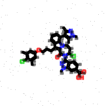 Cc1cc(OCCCc2c3n(c4c(-c5c(C)nn(C)c5C)cccc24)CCC(Cl)N(c2nn(C)c4cc(C(=O)O)ccc24)C3=O)cc(C)c1Cl